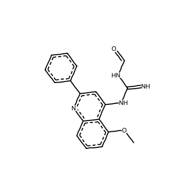 COc1cccc2nc(-c3ccccc3)cc(NC(=N)NC=O)c12